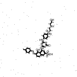 Cc1ccc(N=Nc2ccc3cc(S(=O)(=O)O)cc(Nc4nc(Cl)nc(Nc5ccc(S(=O)(=O)CCNCCO)cc5)n4)c3c2O)cc1